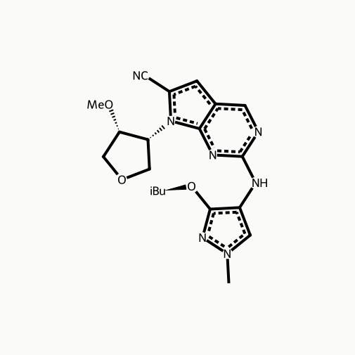 CC[C@H](C)Oc1nn(C)cc1Nc1ncc2cc(C#N)n([C@@H]3COC[C@@H]3OC)c2n1